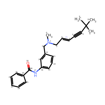 CN(C/C=C/C#CC(C)(C)C)Cc1cccc(NC(=O)c2ccccc2)c1